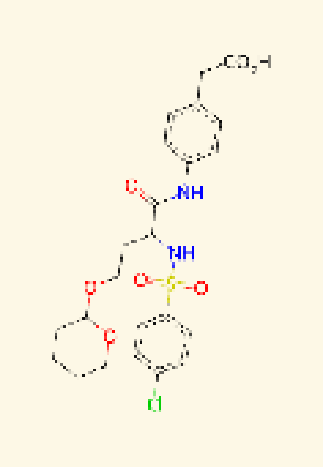 O=C(O)Cc1ccc(NC(=O)C(CCOC2CCCCO2)NS(=O)(=O)c2ccc(Cl)cc2)cc1